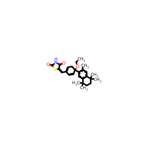 CCOC1(c2cc3c(cc2C)C(C)(C)CCC3(C)C)C=CC(C=C2SC(=O)NC2=O)=CC1